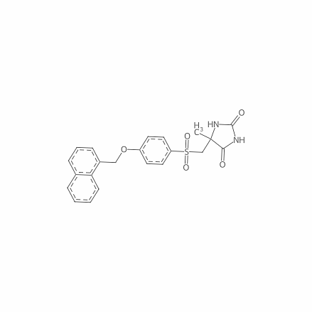 CC1(CS(=O)(=O)c2ccc(OCc3cccc4ccccc34)cc2)NC(=O)NC1=O